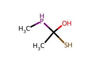 CPC(C)(O)S